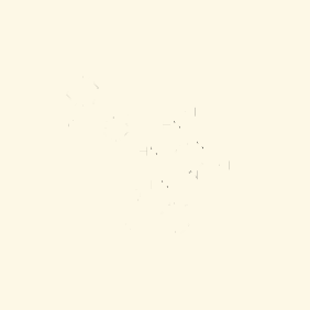 CNc1nc(C)nc(Nc2ccccc2C(=O)O)c1NCc1ccc(-c2ccccc2Cl)o1